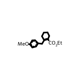 CCOC(=O)C1=C(Cc2ccc(OC)cc2)CCCC1